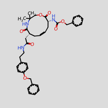 CC1(C)COC(=O)[C@H](NC(=O)OCc2ccccc2)C/C=C\C[C@H](CC(=O)NCCc2ccc(OCc3ccccc3)cc2)C(=O)N1